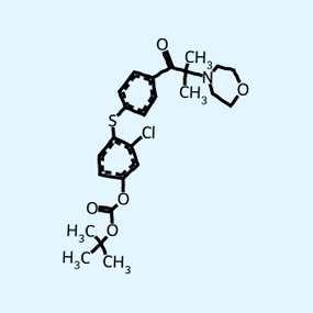 CC(C)(C)OC(=O)Oc1ccc(Sc2ccc(C(=O)C(C)(C)N3CCOCC3)cc2)c(Cl)c1